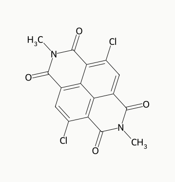 CN1C(=O)c2cc(Cl)c3c4c(cc(Cl)c(c24)C1=O)C(=O)N(C)C3=O